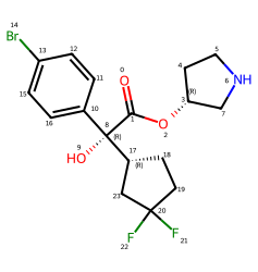 O=C(O[C@@H]1CCNC1)[C@](O)(c1ccc(Br)cc1)[C@@H]1CCC(F)(F)C1